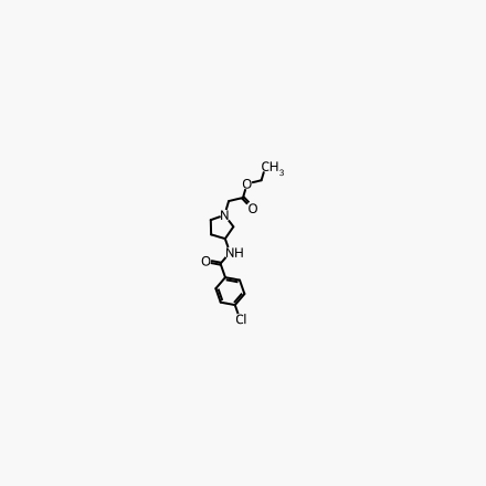 CCOC(=O)CN1CCC(NC(=O)c2ccc(Cl)cc2)C1